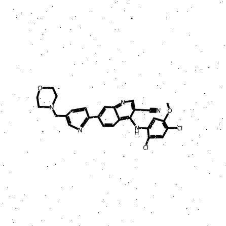 COc1cc(Nc2c(C#N)cnc3cc(-c4ccc(CN5CCOCC5)cn4)ccc23)c(Cl)cc1Cl